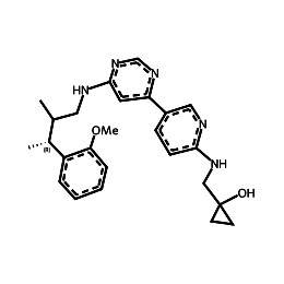 COc1ccccc1[C@H](C)C(C)CNc1cc(-c2ccc(NCC3(O)CC3)nc2)ncn1